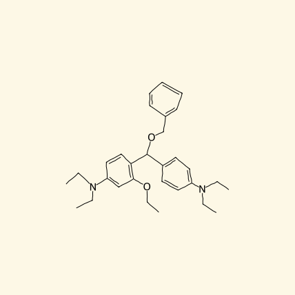 CCOc1cc(N(CC)CC)ccc1C(OCc1ccccc1)c1ccc(N(CC)CC)cc1